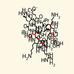 CC[C@H](C)[C@H](NC(=O)[C@H](N)CCCNC(=N)N)C(=O)N[C@@H](Cc1c[nH]cn1)C(=O)N[C@@H](CC[S+](C)[O-])C(=O)N[C@H](C(=O)N[C@@H](Cc1ccc(O)cc1)C(=O)N[C@@H](CO)C(=O)NC(CCCCN)C(=O)N[C@@H](CCCNC(=N)N)C(=O)N[C@@H](COP(=O)(O)O)C(=O)NCC(=O)N[C@@H](CCCCN)C(=O)N1CCC[C@H]1C)C(C)C